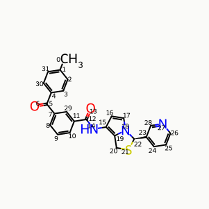 Cc1ccc(C(=O)c2cccc(C(=O)Nc3ccn4c3CS[C@@H]4c3cccnc3)c2)cc1